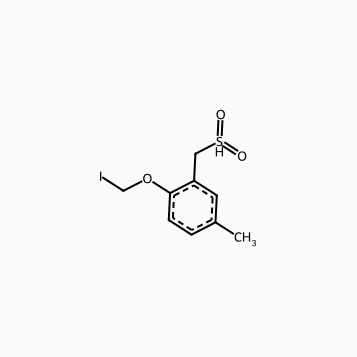 Cc1ccc(OCI)c(C[SH](=O)=O)c1